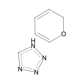 C1=CCOC=C1.c1nnn[nH]1